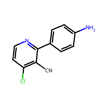 N#Cc1c(Cl)ccnc1-c1ccc(N)cc1